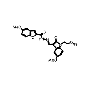 CCOCCn1c(Cl)c(/C=N/NC(=O)c2cc3cc(OC)ccc3o2)c2cc(OC)ccc21